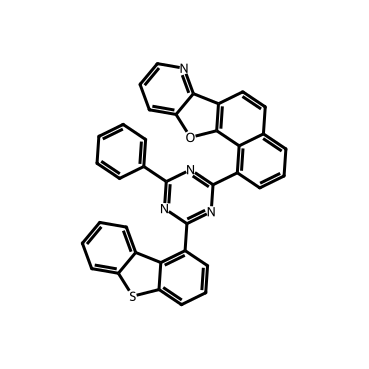 c1ccc(-c2nc(-c3cccc4sc5ccccc5c34)nc(-c3cccc4ccc5c6ncccc6oc5c34)n2)cc1